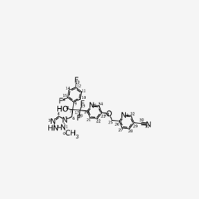 CN1NN=CN1CC(O)(c1ccc(F)cc1F)C(F)(F)c1ccc(OCc2ccc(C#N)cn2)cn1